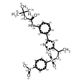 CC(OS(=O)(=O)c1ccc([N+](=O)[O-])cc1)c1nnc(-c2cccc(NC(=O)OC(C)(C)C)c2)s1